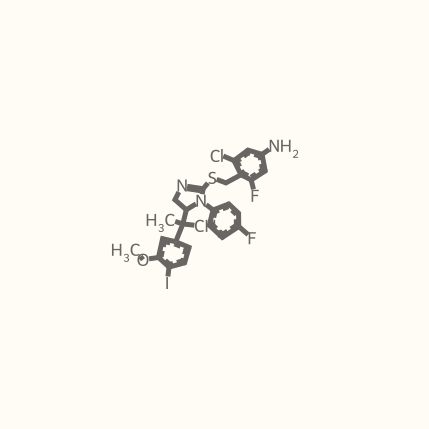 COc1cc(C(C)(C)C2CN=C(SCc3c(F)cc(N)cc3Cl)N2c2ccc(F)cc2)ccc1I